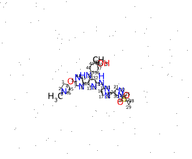 CN1CCC(Oc2cnc(-c3cnc(Nc4ccnc(-c5cnn(S(=O)(=O)C6CC6)c5)n4)cc3NC3CCC(C)(O)CC3)cn2)CC1